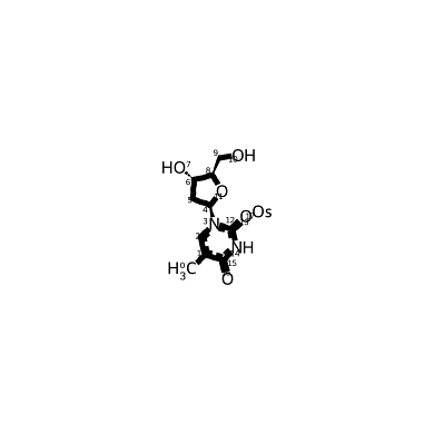 Cc1cn([C@H]2C[C@H](O)[C@@H](CO)O2)c(=O)[nH]c1=O.[Os]